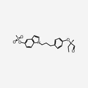 CC[C@@](C)(C=O)Oc1ccc(CCCn2ccc3cc(OS(C)(=O)=O)ccc32)cc1